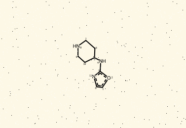 c1coc(NC2CCNCC2)n1